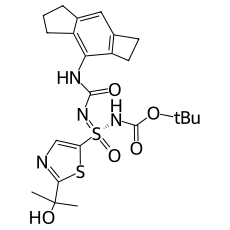 CC(C)(C)OC(=O)N[S@@](=O)(=NC(=O)Nc1c2c(cc3c1CC3)CCC2)c1cnc(C(C)(C)O)s1